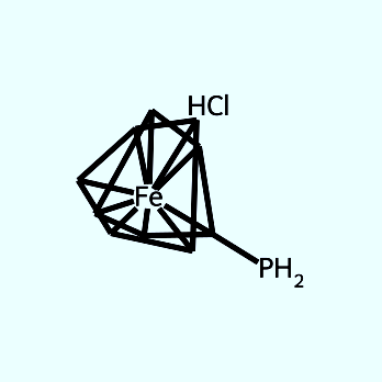 Cl.P[C]12[CH]3[CH]4[CH]5[CH]1[Fe]45321678[CH]2[CH]1[CH]6[CH]7[CH]28